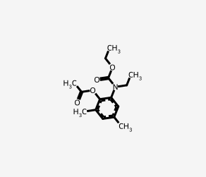 CCOC(=O)N(CC)c1cc(C)cc(C)c1OC(C)=O